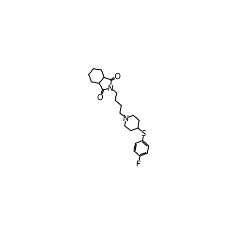 O=C1C2CCCCC2C(=O)N1CCCCN1CCC(Sc2ccc(F)cc2)CC1